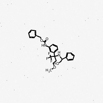 COCCC(NC(CO)c1ccccc1)(c1cccc(NC(=O)OCc2ccccc2)c1)C(F)(F)F